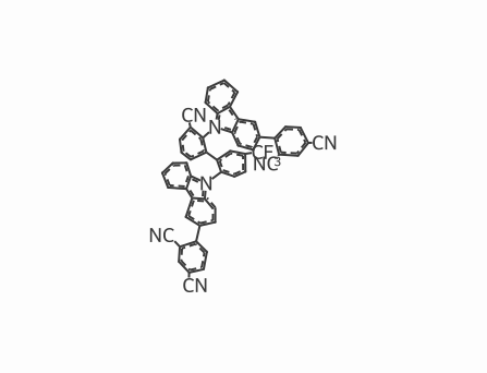 N#Cc1ccc(-c2ccc3c(c2)c2ccccc2n3-c2ccc(C(F)(F)F)cc2-c2cccc(C#N)c2-n2c3ccccc3c3cc(-c4ccc(C#N)cc4C#N)ccc32)c(C#N)c1